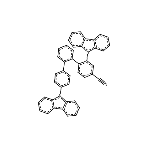 N#Cc1ccc(-c2ccccc2-c2ccc(-n3c4ccccc4c4ccccc43)cc2)c(-n2c3ccccc3c3ccccc32)c1